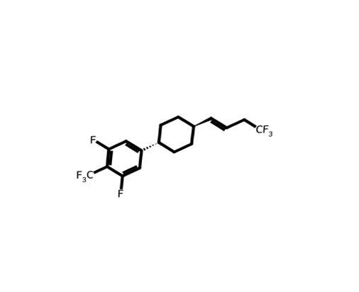 Fc1cc([C@H]2CC[C@H](C=CCC(F)(F)F)CC2)cc(F)c1C(F)(F)F